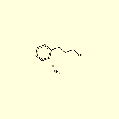 F.OCCCc1ccccc1.[SiH4]